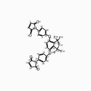 O=C1C=CC(=O)N1c1ccc(Oc2ccc(Oc3ccc(N4C(=O)C=CC4=O)cc3)c(C(F)(F)F)c2C(F)(F)F)cc1